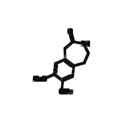 COc1cc2c(cc1OC)CC(=O)NCC2